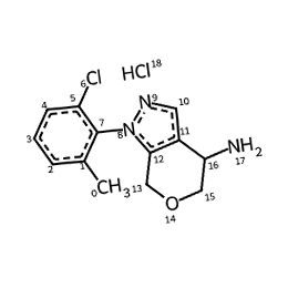 Cc1cccc(Cl)c1-n1ncc2c1COCC2N.Cl